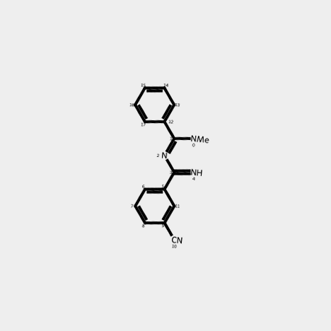 CN/C(=N\C(=N)c1cccc(C#N)c1)c1ccccc1